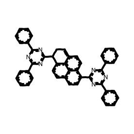 C1=c2ccc3c(-c4nc(-c5ccccc5)nc(-c5ccccc5)n4)ccc4ccc(c2c43)C(c2nc(-c3ccccc3)nc(-c3ccccc3)n2)C1